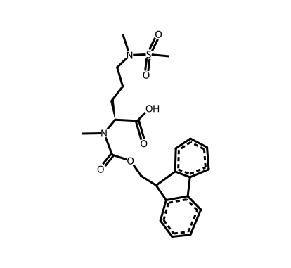 CN(C(=O)OCC1c2ccccc2-c2ccccc21)[C@@H](CCCN(C)S(C)(=O)=O)C(=O)O